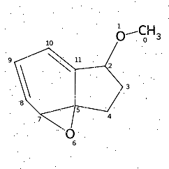 COC1CCC23OC2C=CC=C13